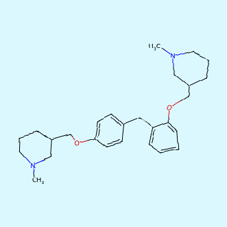 CN1CCCC(COc2ccc(Cc3ccccc3OCC3CCCN(C)C3)cc2)C1